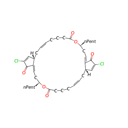 CCCCC[C@H]1C/C=C2\C(=O)C(Cl)=C[C@@H]2C/C=C\CCCC(=O)O[C@@H](CCCCC)C/C=C2/C(=O)C(Cl)=C[C@@H]2C/C=C\CCCC(=O)O1